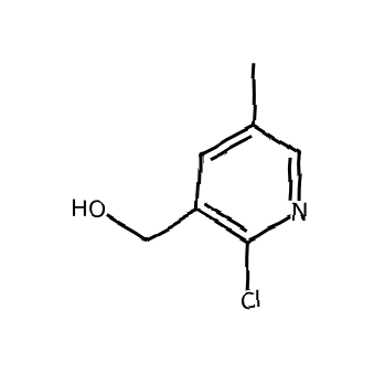 Cc1cnc(Cl)c(CO)c1